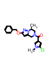 C[C@H]1CN(C(=O)c2cc(Cl)n(C)c2)Cc2cc(OCc3ccccc3)nn21